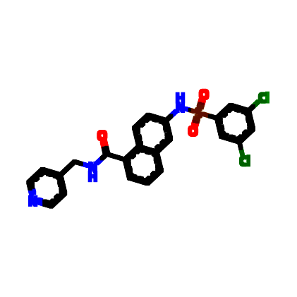 O=C(NCc1ccncc1)c1cccc2cc(NS(=O)(=O)c3cc(Cl)cc(Cl)c3)ccc12